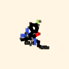 COCCNC(=O)C1(c2ccc(F)cc2)CC(C)(C(=O)O)NN1